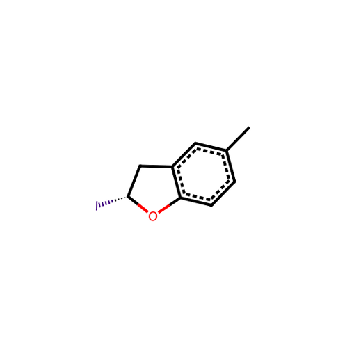 Cc1ccc2c(c1)C[C@@H](I)O2